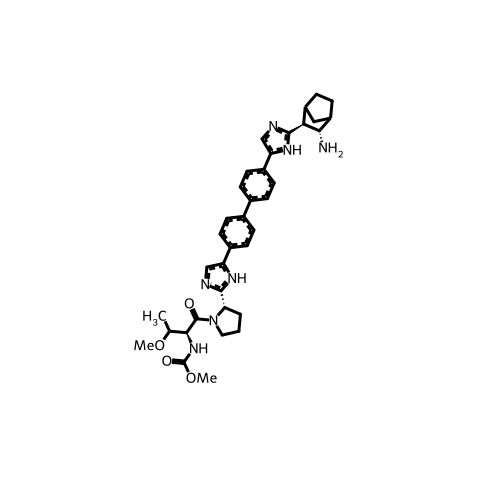 COC(=O)N[C@H](C(=O)N1CCC[C@H]1c1ncc(-c2ccc(-c3ccc(-c4cnc([C@H]5C6CCC(C6)[C@@H]5N)[nH]4)cc3)cc2)[nH]1)C(C)OC